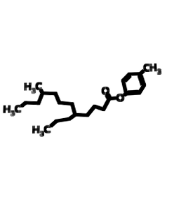 CCCC(C)CCCC(CCC)CCCC(=O)Oc1ccc(C)cc1